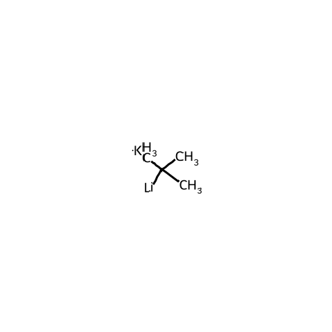 [K].[Li][C](C)(C)C